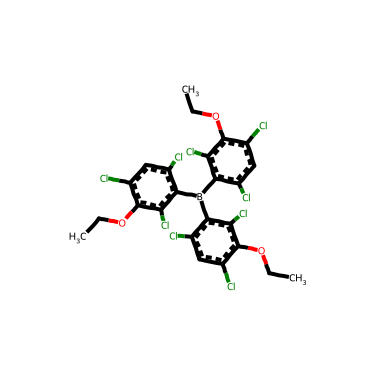 CCOc1c(Cl)cc(Cl)c(B(c2c(Cl)cc(Cl)c(OCC)c2Cl)c2c(Cl)cc(Cl)c(OCC)c2Cl)c1Cl